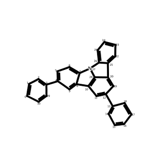 c1ccc(-c2ccc3c(c2)c2cc(-c4ccccc4)cc4c5ccccc5n3c42)cc1